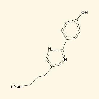 CCCCCCCCCCCCc1cnc(-c2ccc(O)cc2)nc1